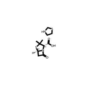 C1CSCN1.CC1(C)S[C@@H]2CC(=O)N2[C@H]1C(=O)O